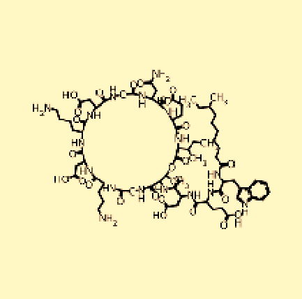 CCC(C)CCCCCCC(=O)NC(Cc1c[nH]c2ccccc12)C(=O)NC(CCC(=O)O)C(=O)NC(CC(=O)O)C(=O)NC1C(=O)NCC(=O)NC(CCCN)C(=O)NC(CC(=O)O)C(=O)NC(CCCCN)C(=O)NC(CC(=O)O)C(=O)NCC(=O)NC(CC(N)=O)C(=O)NC(CCC(=O)O)C(=O)NC(C(C)CC)C(=O)OC1C